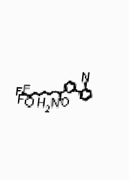 N#Cc1ccccc1-c1cccc(C(CCCCCC(=O)C(F)(F)F)C(N)=O)c1